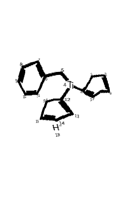 C1=CC[C]([Ti]([CH2]c2ccccc2)[C]2=CC=CC2)=C1.[H-]